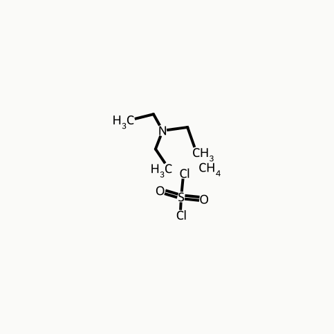 C.CCN(CC)CC.O=S(=O)(Cl)Cl